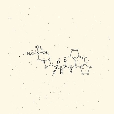 CS(C)(C)CN1CC(S(=O)(=O)NC(=O)Nc2c3c(cc4c2CCC4)CCC3)C1